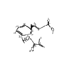 C=C(C)C(=O)O.[O]C(=O)C=Cc1ccccc1